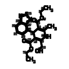 CCOC(=O)C1=C(C)NC(CO)=C(C(=O)OCC)C1c1cccc2nsnc12